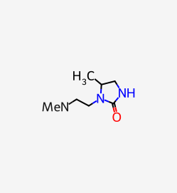 CNCCN1C(=O)NCC1C